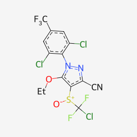 CCOc1c([S+]([O-])C(F)(F)Cl)c(C#N)nn1-c1c(Cl)cc(C(F)(F)F)cc1Cl